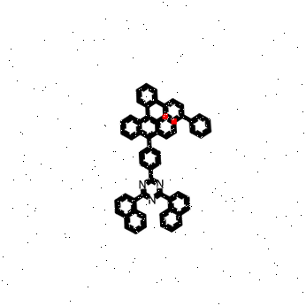 c1ccc(-c2ccc(-c3ccccc3-c3c4ccccc4c(-c4ccc(-c5nc(-c6cccc7ccccc67)nc(-c6cccc7ccccc67)n5)cc4)c4ccccc34)cc2)cc1